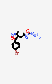 Cc1noc(-c2ccc(Br)cc2)c1CC(C)N(C)C(N)=O